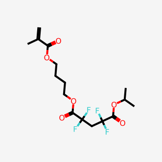 C=C(C)C(=O)OCCCCOC(=O)C(F)(F)CC(F)(F)C(=O)OC(C)C